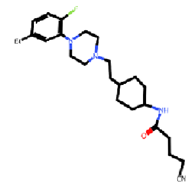 CCc1ccc(F)c(N2CCN(CCC3CCC(NC(=O)CCCC#N)CC3)CC2)c1